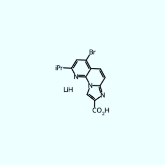 CC(C)c1cc(Br)c2ccc3nc(C(=O)O)cn3c2n1.[LiH]